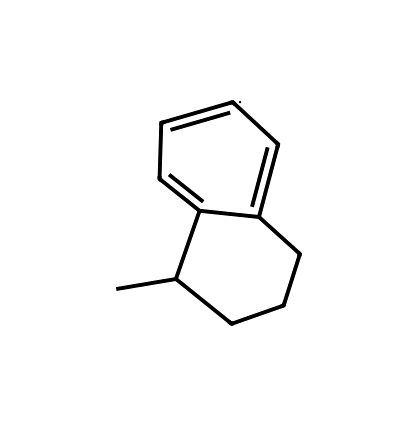 CC1CCCc2c[c]ccc21